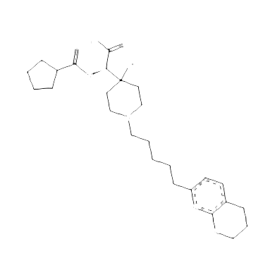 CC(=O)[C@H](NC(=O)C1CCCC1)C1(O)CCN(CCCCCc2ccc3c(n2)NCCC3)CC1